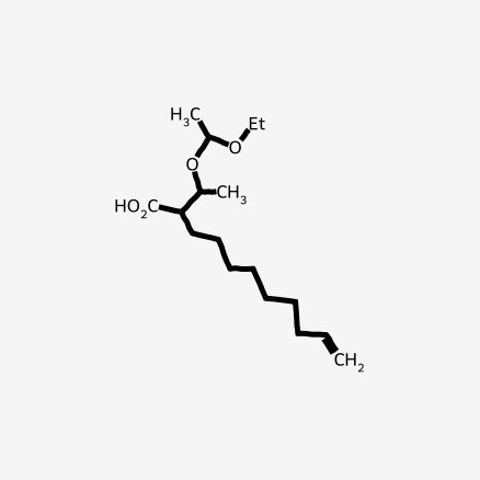 C=CCCCCCCCC(C(=O)O)C(C)OC(C)OCC